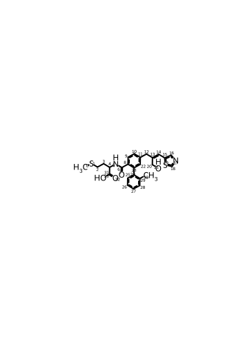 CSCCC(NC(=O)c1ccc(CC(=Cc2cncs2)CO)cc1-c1ccccc1C)C(=O)O